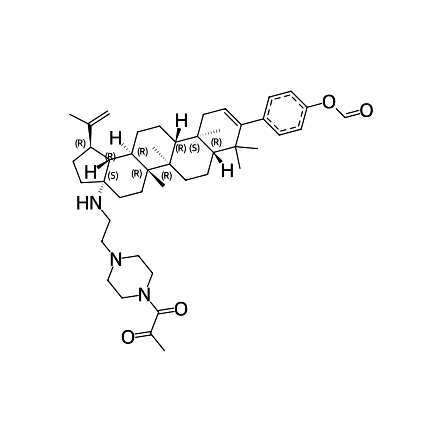 C=C(C)[C@@H]1CC[C@]2(NCCN3CCN(C(=O)C(C)=O)CC3)CC[C@]3(C)[C@H](CC[C@@H]4[C@@]5(C)CC=C(c6ccc(OC=O)cc6)C(C)(C)[C@@H]5CC[C@]43C)[C@@H]12